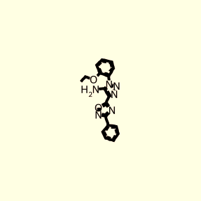 CCOc1ccccc1-n1nnc(-c2nc(-c3ccccc3)no2)c1N